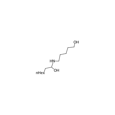 CCCCCCCC(O)NCCCCCO